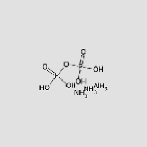 N.N.O=P(O)(O)OP(=O)(O)O.[AlH3]